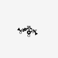 O=C(C1CC1)N1CC2(CC(c3nnc4n3-c3ccc(Cl)cc3CN(CC(F)(F)C3CC3)C4)C2)C1